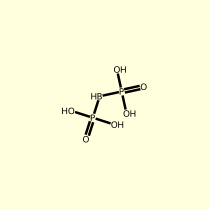 O=P(O)(O)BP(=O)(O)O